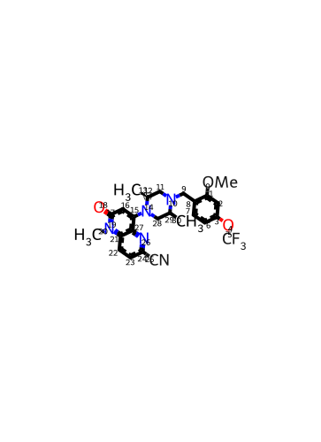 COc1cc(OC(F)(F)F)ccc1CN1C[C@H](C)N(c2cc(=O)n(C)c3ccc(C#N)nc23)CC1C